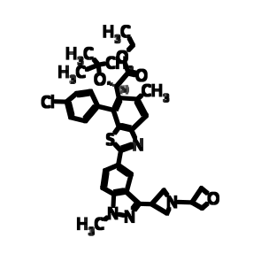 CCOC(=O)[C@@H](OC(C)(C)C)c1c(C)cc2nc(-c3ccc4c(c3)c(C3CN(C5COC5)C3)nn4C)sc2c1-c1ccc(Cl)cc1